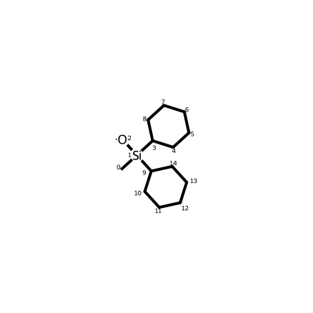 C[Si]([O])(C1CCCCC1)C1CCCCC1